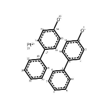 [O-]c1ccc(-c2ccccc2)cc1.[O-]c1ccc(-c2ccccc2)cc1.[Pt+2]